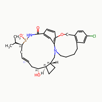 CC(C)[C@@H]1C/C=C/C[C@@H](O)[C@@H]2CC[C@H]2CN2CCCCc3cc(Cl)ccc3COc3ccc(cc32)C(=O)N[S+]1[O-]